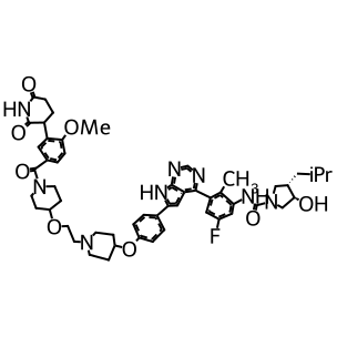 COc1ccc(C(=O)N2CCC(OCCN3CCC(Oc4ccc(-c5cc6c(-c7cc(F)cc(NC(=O)N8C[C@H](CC(C)C)[C@@H](O)C8)c7C)ncnc6[nH]5)cc4)CC3)CC2)cc1C1CCC(=O)NC1=O